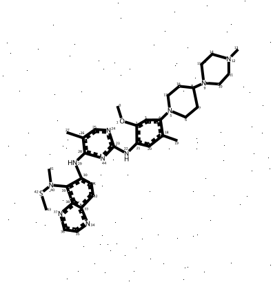 COc1cc(N2CCC(N3CCN(C)CC3)CC2)c(C)cc1Nc1ncc(C)c(Nc2ccc3nccnc3c2N(C)SC)n1